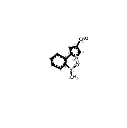 C[S+]([O-])c1ccccc1-c1cc(C=O)c[nH]1